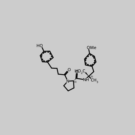 COc1ccc(C[C@](C)(NC(=O)[C@@H]2CCCN2C(=O)CCCc2ccc(O)cc2)C(=O)O)cc1